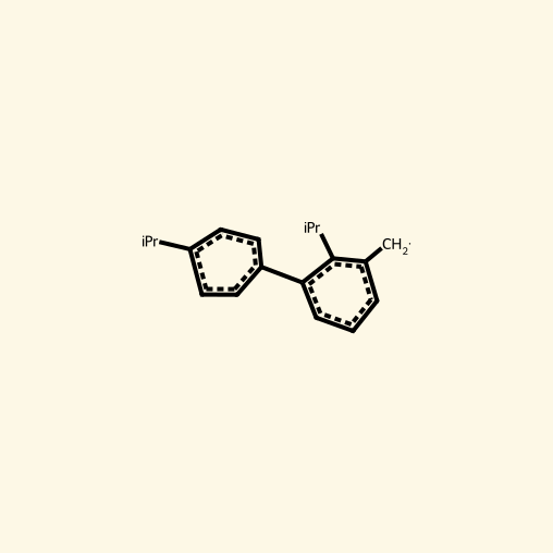 [CH2]c1cccc(-c2ccc(C(C)C)cc2)c1C(C)C